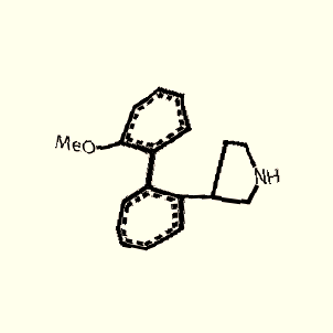 COc1ccccc1-c1ccccc1C1CCNC1